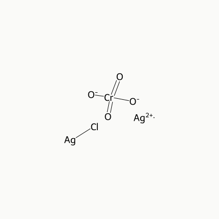 [Ag+2].[Cl][Ag].[O]=[Cr](=[O])([O-])[O-]